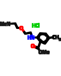 CNCCOCCNc1ccc(C)cc1C(=O)OC.Cl